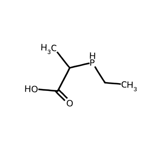 CCPC(C)C(=O)O